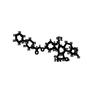 CCn1c2ccc(OCC(=O)N3CCN(c4ccccc4)CC3)cc2c2c3c(c4c(c21)CCc1nn(C)cc1-4)C(=O)NC3